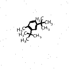 Cc1c[c]c(C(C)(C)C)cc1C(C)(C)C